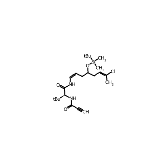 C#CC(=O)N[C@H](C(=O)N/C=C\CC(C/C=C(\C)Cl)O[Si](C)(C)C(C)(C)C)C(C)(C)C